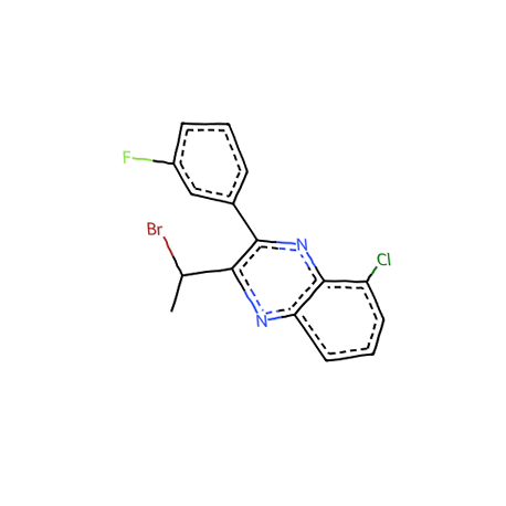 CC(Br)c1nc2cccc(Cl)c2nc1-c1cccc(F)c1